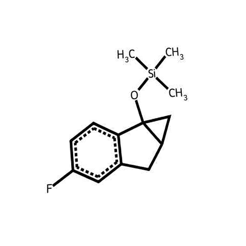 C[Si](C)(C)OC12CC1Cc1cc(F)ccc12